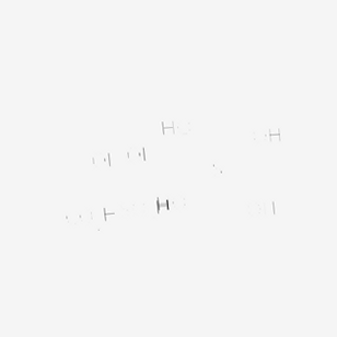 O=C(O)O.O=S(=O)(O)O.O[Si](O)(O)O